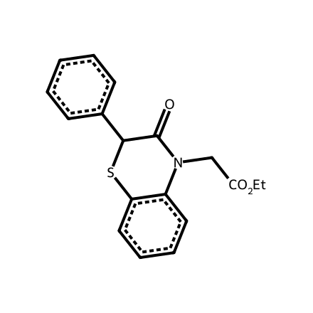 CCOC(=O)CN1C(=O)C(c2ccccc2)Sc2ccccc21